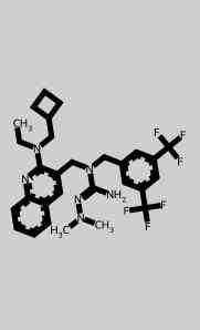 CCN(CC1CCC1)c1nc2ccccc2cc1CN(Cc1cc(C(F)(F)F)cc(C(F)(F)F)c1)/C(N)=N/N(C)C